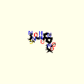 CC1(C)CCN(c2ccc3nccc(C(=O)NCC(=O)N4CSCC4C#N)c3c2)C(=O)O1